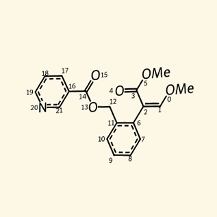 COC=C(C(=O)OC)c1ccccc1COC(=O)c1cccnc1